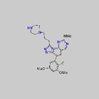 CNc1ncc2cc(-c3cc(OC)cc(OC)c3Cl)c3nnc(CCCN4CCNCC4)n3c2n1